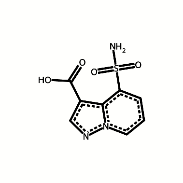 NS(=O)(=O)c1cccn2ncc(C(=O)O)c12